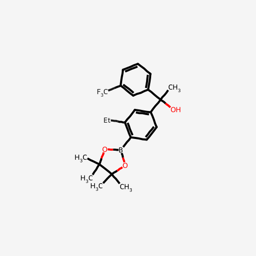 CCc1cc(C(C)(O)c2cccc(C(F)(F)F)c2)ccc1B1OC(C)(C)C(C)(C)O1